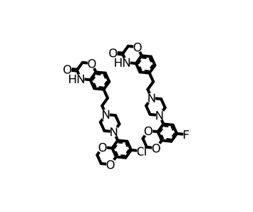 O=C1COc2ccc(CCN3CCN(c4cc(Cl)cc5c4OCCO5)CC3)cc2N1.O=C1COc2ccc(CCN3CCN(c4cc(F)cc5c4OCCO5)CC3)cc2N1